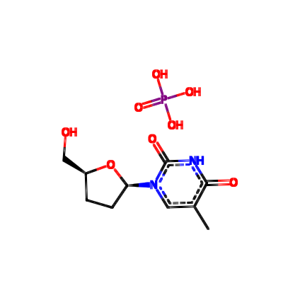 Cc1cn([C@H]2CC[C@@H](CO)O2)c(=O)[nH]c1=O.O=P(O)(O)O